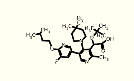 Cc1ncc(-c2cnc(OCCC(C)C)c(F)c2)c(N2CCC(C)(C)CC2)c1C(OC(C)(C)C)C(=O)O